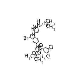 CN(C)CCNc1ccc(-n2cc(Br)c3cc(N(CC(=O)OC(C)(C)C)S(=O)(=O)c4cc(Cl)cc(Cl)c4)ccc32)nn1